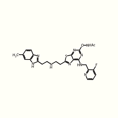 CC(=O)NOc1nc(NCc2ncccc2F)c2nc(CCNCCc3nc4ccc(C)cc4[nH]3)sc2n1